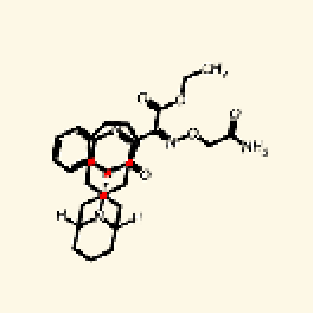 CCOC(=O)/C(=N\OCC(N)=O)c1nc2ccccc2n([C@H]2C[C@H]3CCC[C@@H](C2)N3C2CC3CCCCC(C3)C2)c1=O